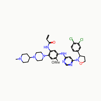 C=CC(=O)Nc1cc(Nc2cc(N3OCCC3c3ccc(Cl)c(Cl)c3)ncn2)c(OC)cc1N1CCN(C2CCN(C)CC2)CC1